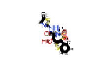 CCc1cnc(NC(=O)C2=C(O)c3sc4ccccc4c3S(=O)(=O)N2C)s1